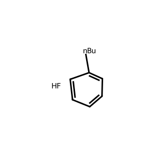 CCCCc1ccccc1.F